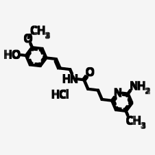 COc1cc(C=CCNC(=O)CCCc2cc(C)cc(N)n2)ccc1O.Cl